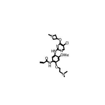 C=CC(=O)Nc1cc(Nc2ncc(Cl)c(OC3CN(C)C3)n2)c(OC)cc1OCCN(C)C